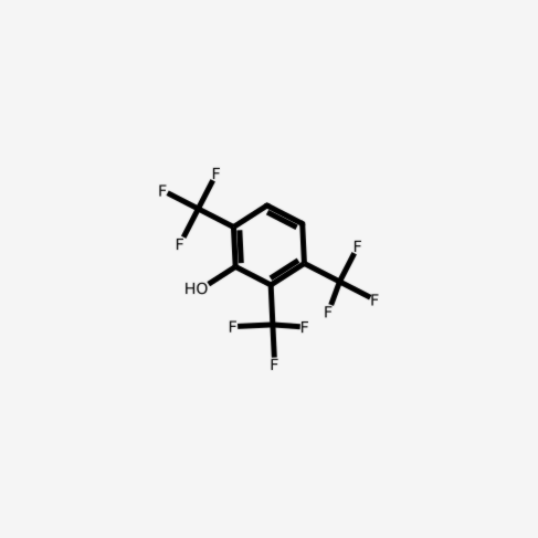 Oc1c(C(F)(F)F)ccc(C(F)(F)F)c1C(F)(F)F